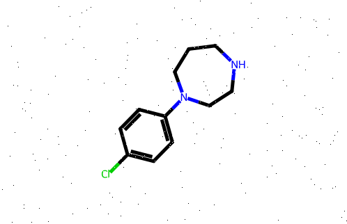 Clc1ccc(N2CCCNCC2)cc1